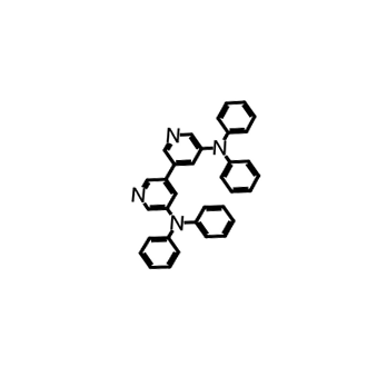 c1ccc(N(c2ccccc2)c2cncc(-c3cncc(N(c4ccccc4)c4ccccc4)c3)c2)cc1